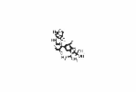 CC(C)n1c(C(C)(C)O)nc2c(F)cc(-c3nc(N[C@@H]4C[C@@H]5OC[C@@H](O5)[C@H]4O)ncc3Cl)cc21